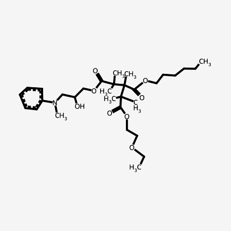 CCCCCCOC(=O)C(C)(C(C)(C)C(=O)OCCOCC)C(C)(C)C(=O)OCC(O)CN(C)c1ccccc1